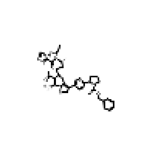 CC[C@H](C)N(C(=O)c1nnc[nH]1)[C@H](C)CCc1nc2c(-c3ccc(C4CCCN4C(=O)OCc4ccccc4)nc3)cnn2c(N)c1C(C)=O